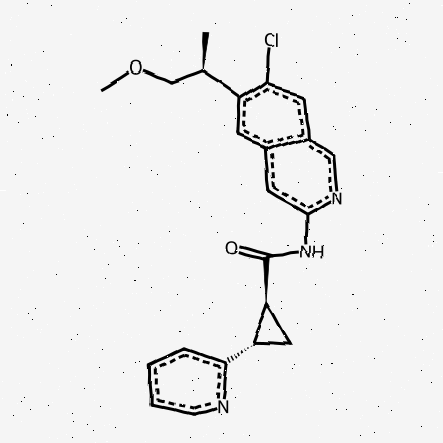 COC[C@@H](C)c1cc2cc(NC(=O)[C@H]3C[C@@H]3c3ccccn3)ncc2cc1Cl